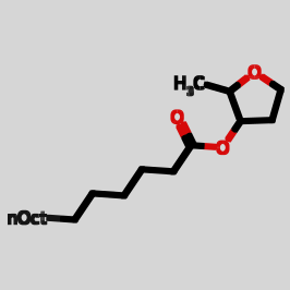 CCCCCCCCCCCCCC(=O)OC1CCOC1C